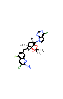 CC1(C)O[C@@H]2[C@@](C=O)(CCc3cc(F)c4cc(Cl)c(N)nc4c3)C[C@H]3C(n4ccc5c(Cl)ncnc54)[C@]23O1